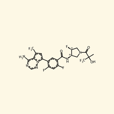 CC(O)(C(=O)N1C[C@H](F)[C@H](NC(=O)c2cc(-c3cc(C(F)(F)F)c4c(N)ncnn34)c(F)cc2F)C1)C(F)(F)F